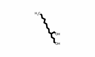 CCCCCCCCCC(CO)CCCO